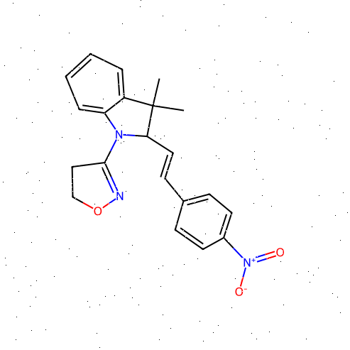 CC1(C)c2ccccc2N(C2=NOCC2)C1C=Cc1ccc([N+](=O)[O-])cc1